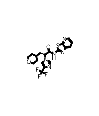 O=C(Nc1nc2cccnc2s1)[C@H](CC1CCOCC1)n1cnc(C(F)(F)F)c1